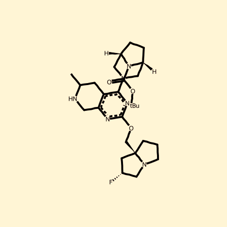 CC1Cc2c(nc(OC[C@@]34CCCN3C[C@H](F)C4)nc2N2C[C@H]3CC[C@@H](C2)N3C(=O)OC(C)(C)C)CN1